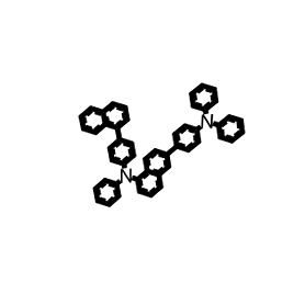 c1ccc(N(c2ccccc2)c2ccc(-c3ccc4c(N(c5ccccc5)c5ccc(-c6cccc7ccccc67)cc5)cccc4c3)cc2)cc1